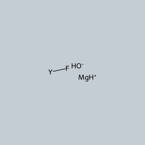 [F][Y].[MgH+].[OH-]